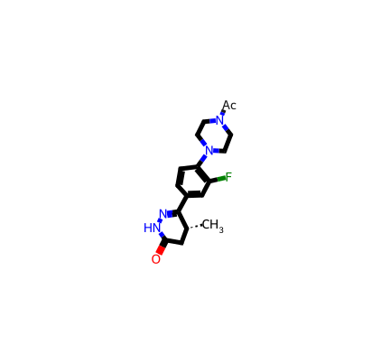 CC(=O)N1CCN(c2ccc(C3=NNC(=O)C[C@H]3C)cc2F)CC1